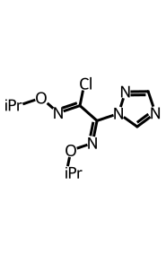 CC(C)ON=C(Cl)C(=NOC(C)C)n1cncn1